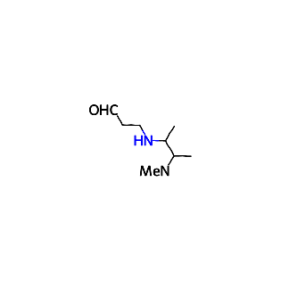 CNC(C)C(C)NCCC=O